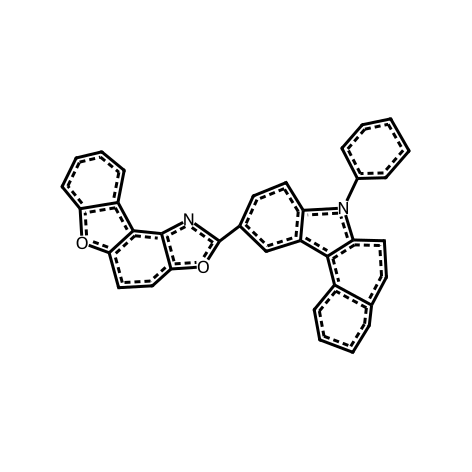 c1ccc(-n2c3ccc(-c4nc5c(ccc6oc7ccccc7c65)o4)cc3c3c4ccccc4ccc32)cc1